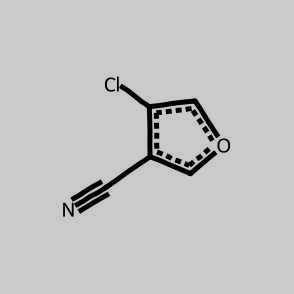 N#Cc1cocc1Cl